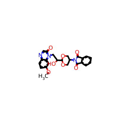 COc1ccc2ncc(=O)n(CC(O)C3OCC(N4C(=O)c5ccccc5C4=O)CO3)c2c1